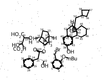 CCCCOc1ccccc1CBr.CN1[C@@H]2CC[C@H]1C[C@@H](OC(=O)[C@H](CO)c1ccccc1)C2.O=C(O)C(O)C(O)C(=O)O.Oc1ccc2c(c1)[C@@]13CCCC[C@@]1(O)[C@@H](C2)N(CC1CCC1)CC3